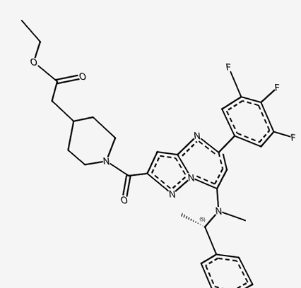 CCOC(=O)CC1CCN(C(=O)c2cc3nc(-c4cc(F)c(F)c(F)c4)cc(N(C)[C@@H](C)c4ccccc4)n3n2)CC1